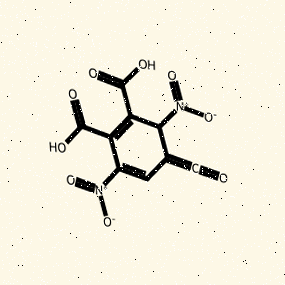 O=C=C1C=C([N+](=O)[O-])C(C(=O)O)=C(C(=O)O)C1[N+](=O)[O-]